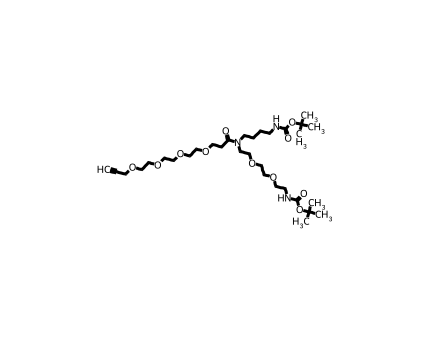 C#CCOCCOCCOCCOCCC(=O)N(CCCCNC(=O)OC(C)(C)C)CCOCCOCCNC(=O)OC(C)(C)C